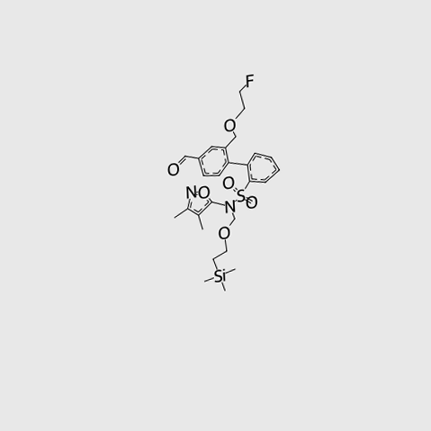 Cc1noc(N(COCC[Si](C)(C)C)S(=O)(=O)c2ccccc2-c2ccc(C=O)cc2COCCF)c1C